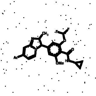 COc1cc(C2C(C)N=C3C=C(C(C)=O)C=CN32)cc(OC(F)F)c1C(=O)NC1CC1